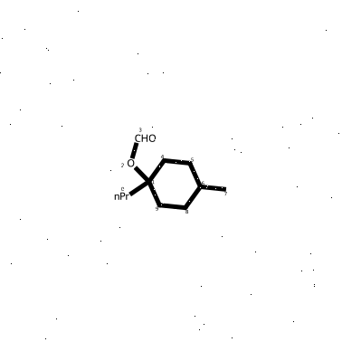 CCCC1(OC=O)CCC(C)CC1